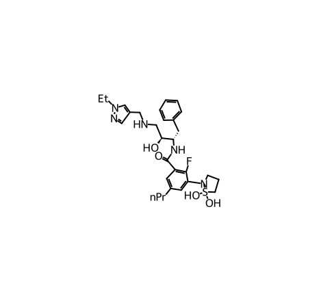 CCCc1cc(C(=O)N[C@@H](Cc2ccccc2)[C@@H](O)CNCc2cnn(CC)c2)c(F)c(N2CCCS2(O)O)c1